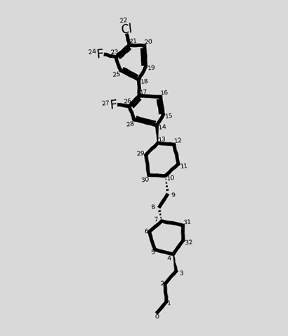 CCCC[C@H]1CC[C@H](CC[C@H]2CC[C@H](c3ccc(-c4ccc(Cl)c(F)c4)c(F)c3)CC2)CC1